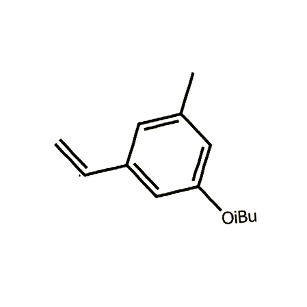 C=[C]c1cc(C)cc(OCC(C)C)c1